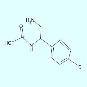 NCC(NC(=O)O)c1ccc(Cl)cc1